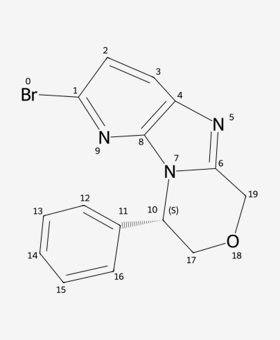 Brc1ccc2nc3n(c2n1)[C@@H](c1ccccc1)COC3